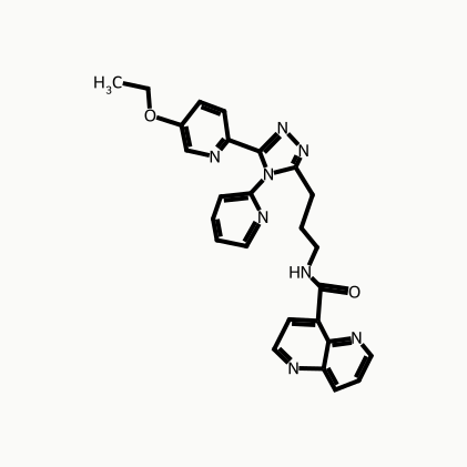 CCOc1ccc(-c2nnc(CCCNC(=O)c3ccnc4cccnc34)n2-c2ccccn2)nc1